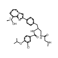 CNCC(=O)NCC(Cc1ccc(-c2cn3cccc([C@H](C)O)c3n2)cc1)NC(=O)c1ccc(OC(C)C)c(Cl)c1